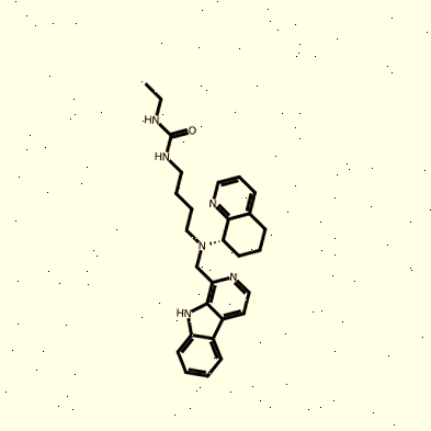 CCNC(=O)NCCCCN(Cc1nccc2c1[nH]c1ccccc12)[C@H]1CCCc2cccnc21